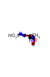 CC(c1ccc(C#CC2CCN(CCn3cc(C(=O)O)cn3)CC2)c2ccccc12)N1CCC(C(=O)NCc2cccc(F)c2)CC1